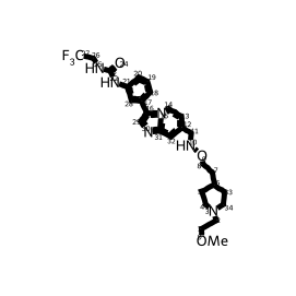 COCCN1CCC(CCONCc2ccn3c(-c4cccc(NC(=O)NCC(F)(F)F)c4)cnc3c2)CC1